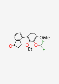 CCOc1c(-c2cccc3c2CCC3=O)ccc(OC)c1OC(F)F